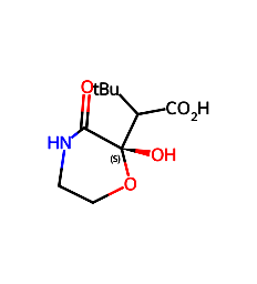 CC(C)(C)C(C(=O)O)[C@]1(O)OCCNC1=O